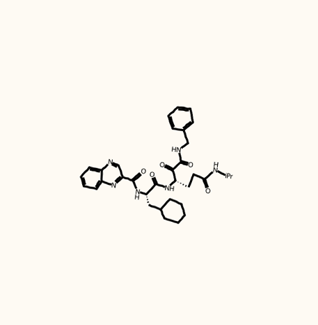 CC(C)NC(=O)CC[C@H](NC(=O)[C@H](CC1CCCCC1)NC(=O)c1cnc2ccccc2n1)C(=O)C(=O)NCc1ccccc1